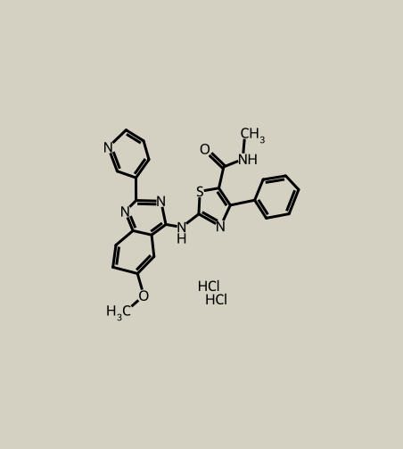 CNC(=O)c1sc(Nc2nc(-c3cccnc3)nc3ccc(OC)cc23)nc1-c1ccccc1.Cl.Cl